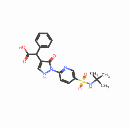 CC(C)(C)NS(=O)(=O)c1ccc(-n2[nH]cc(C(C(=O)O)c3ccccc3)c2=O)nc1